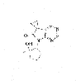 C[C@@]1(O)CCC[C@H]1N1C(=O)C2(CC2)c2cncnc21